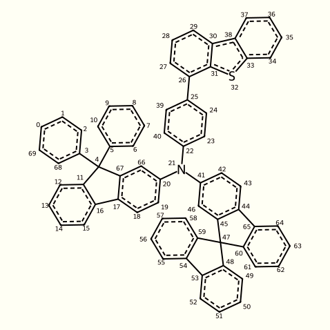 c1ccc(C2(c3ccccc3)c3ccccc3-c3ccc(N(c4ccc(-c5cccc6c5sc5ccccc56)cc4)c4ccc5c(c4)C4(c6ccccc6-c6ccccc64)c4ccccc4-5)cc32)cc1